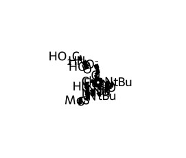 C#CCOc1cc(-n2nc(C(C)(C)C)oc2=O)c(Cl)cc1Cl.CCNc1nc(NC(C)(C)C)nc(SC)n1.C[S+](C)C.O=C(O)CNCP(=O)([O-])O